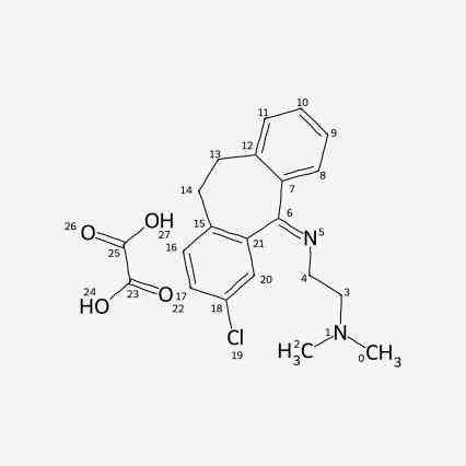 CN(C)CCN=C1c2ccccc2CCc2ccc(Cl)cc21.O=C(O)C(=O)O